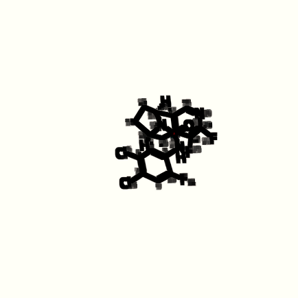 O=C(Nc1cc(Cl)c(Cl)cc1F)N1[C@@H]2CC[C@H]1c1cnc(F)c(F)c1C2